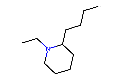 [CH2]CCCC1CCCCN1CC